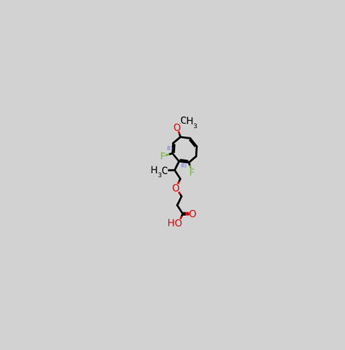 COC1C=CC/C(F)=C(C(C)COCCC(=O)O)\C(F)=C/1